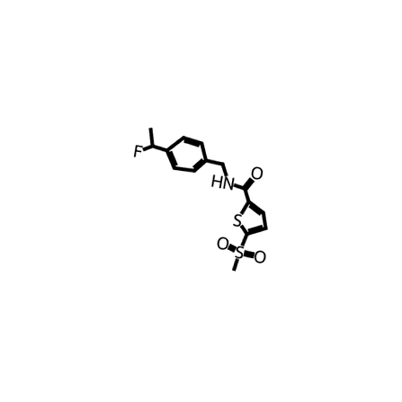 CC(F)c1ccc(CNC(=O)c2ccc(S(C)(=O)=O)s2)cc1